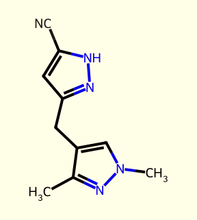 Cc1nn(C)cc1Cc1cc(C#N)[nH]n1